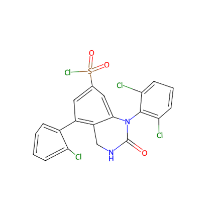 O=C1NCc2c(-c3ccccc3Cl)cc(S(=O)(=O)Cl)cc2N1c1c(Cl)cccc1Cl